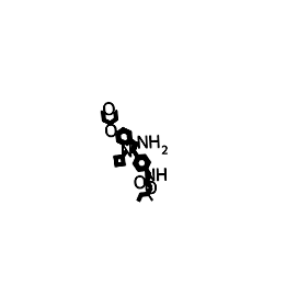 CC[C@H](C)OC(=O)Nc1ccc(-c2c(N)c3ccc(OC4CCOCC4)cc3n2C2CCC2)cc1